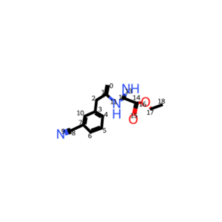 C=C(Cc1cccc(C#N)c1)NC(=N)C(=O)OCC